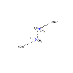 CCCCCCCCCCCCCCCC[N+](C)(C)CCCC[N+](C)(C)CCCCCCCCCCCCCCCC